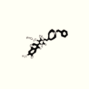 CCOC(=O)C1=C(C)N(CCC2CCN(Cc3ccccc3)CC2)C(=O)NC1c1coc2cc(C)c(Cl)cc2c1=O